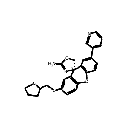 NC1=N[C@]2(CO1)c1cc(OCC3CCCO3)ccc1Oc1ccc(-c3cccnc3)cc12